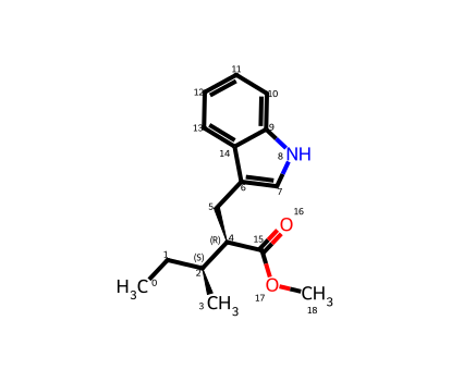 CC[C@H](C)[C@@H](Cc1c[nH]c2ccccc12)C(=O)OC